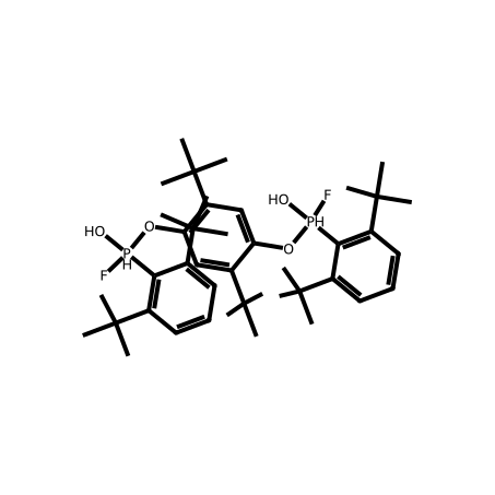 CC(C)(C)c1cc(O[PH](O)(F)c2c(C(C)(C)C)cccc2C(C)(C)C)c(C(C)(C)C)cc1O[PH](O)(F)c1c(C(C)(C)C)cccc1C(C)(C)C